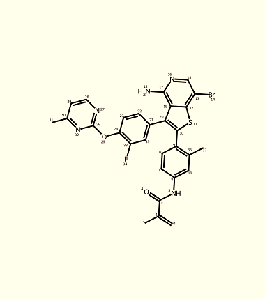 C=C(C)C(=O)Nc1ccc(-c2sc3c(Br)cnc(N)c3c2-c2ccc(Oc3nccc(C)n3)c(F)c2)c(C)c1